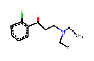 CCN(CC)CCC(=O)c1ccccc1Cl